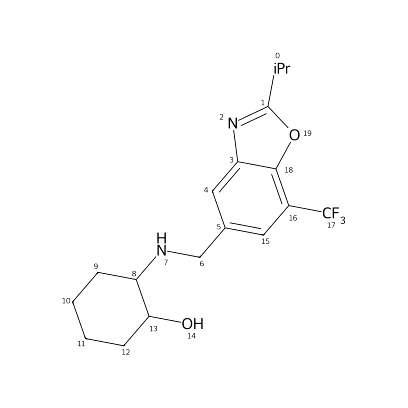 CC(C)c1nc2cc(CNC3CCCCC3O)cc(C(F)(F)F)c2o1